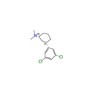 CN(C)[C@@H]1CCC[C@H](c2cc(Cl)cc(Cl)c2)C1